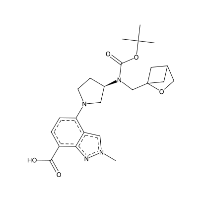 Cn1cc2c(N3CC[C@@H](N(CC45CC(CO4)C5)C(=O)OC(C)(C)C)C3)ccc(C(=O)O)c2n1